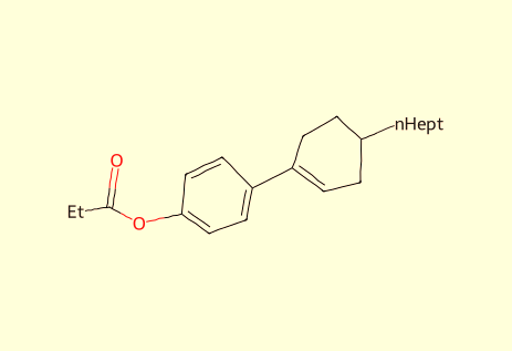 CCCCCCCC1CC=C(c2ccc(OC(=O)CC)cc2)CC1